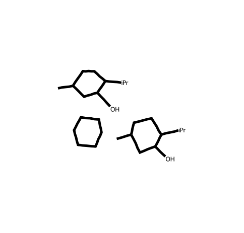 C1CCCCC1.CC1CCC(C(C)C)C(O)C1.CC1CCC(C(C)C)C(O)C1